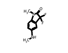 CNc1ccc2c(c1)C(F)(F)C(=O)N2C